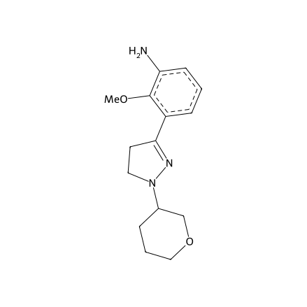 COc1c(N)cccc1C1=NN(C2CCCOC2)CC1